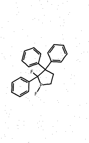 FP1CCC(c2ccccc2)(c2ccccc2)C1(F)c1ccccc1